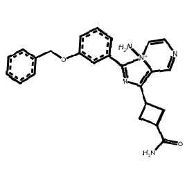 NC(=O)C1CC(C2=C3C=NC=C[N+]3(N)C(c3cccc(OCc4ccccc4)c3)=N2)C1